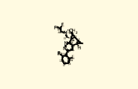 C=C1C2C3C[C@@H]3c3cc(-c4c(F)cccc4F)nnc3[C@]12CNCC(F)F